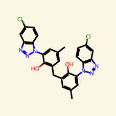 Cc1cc(Cc2cc(C)cc(-n3nnc4cc(Cl)ccc43)c2O)c(O)c(-n2nnc3cc(Cl)ccc32)c1